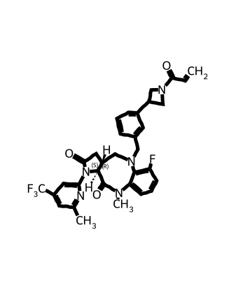 C=CC(=O)N1CC(c2cccc(CN3C[C@H]4CC(=O)N(c5cc(C(F)(F)F)cc(C)n5)[C@@H]4C(=O)N(C)c4cccc(F)c43)c2)C1